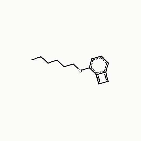 CCCCCCOc1cccc2c1=CC=2